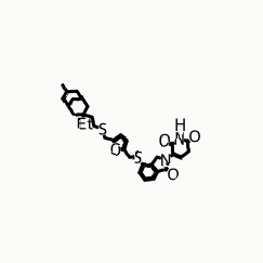 CCC1(CCSCc2ccc(CSc3cccc4c3CN(C3CCC(=O)NC3=O)C4=O)o2)CC2CC(C)CC(C2)C1